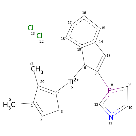 CC1=CC[C]([Ti+2][CH]2C(p3ccnc3)=Cc3ccccc32)=C1C.[Cl-].[Cl-]